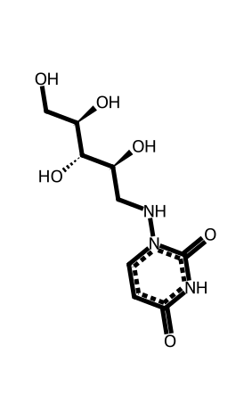 O=c1ccn(NC[C@H](O)[C@H](O)[C@H](O)CO)c(=O)[nH]1